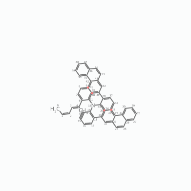 C/C=C\C=C(/C)c1ccccc1N(c1c#cccc1-c1ccc2c(ccc3ccccc32)c1)c1ccccc1-c1ccc2c(ccc3ccccc32)c1